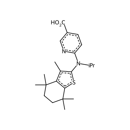 Cc1c(N(c2ccc(C(=O)O)cn2)C(C)C)sc2c1C(C)(C)CCC2(C)C